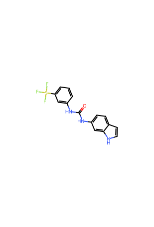 O=C(Nc1cccc(S(F)(F)F)c1)Nc1ccc2cc[nH]c2c1